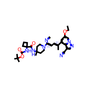 C=N/C(=C\C=C(/C)c1cc(OCC)cn2ncc(C#N)c12)N1CCC(C)(NC(=O)C2(NC(=O)OC(C)(C)C)CCC2)CC1